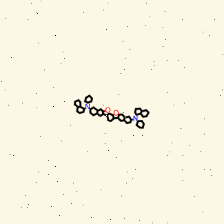 c1ccc(N(c2ccc3cc4c(cc3c2)oc2c4ccc3c4cc5ccc(N(c6ccccc6)c6cccc7ccccc67)cc5cc4oc32)c2cccc3ccccc23)cc1